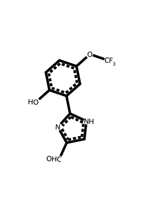 O=Cc1c[nH]c(-c2cc(OC(F)(F)F)ccc2O)n1